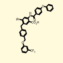 CC(C)c1cc(NC(=O)c2ccc(Oc3ccccc3)cc2)c(C(=O)O)cc1Cc1ccc(COc2cccc(C(F)(F)F)c2)cc1